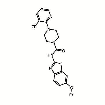 CCOc1ccc2nc(NC(=O)N3CCN(c4ncccc4Cl)CC3)sc2c1